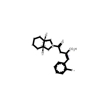 O=C(O)/C(=C/c1ccccc1F)CC(=O)N1C[C@H]2CCCC[C@H]2C1